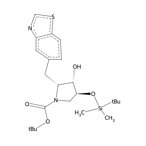 CC(C)(C)OC(=O)N1C[C@H](O[Si](C)(C)C(C)(C)C)[C@@H](O)[C@H]1Cc1ccc2scnc2c1